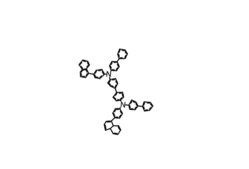 C1=CC2C=CC=C(c3ccc(N(c4ccc(-c5ccccc5)cc4)c4ccc(-c5ccc(N(c6ccc(-c7ccccc7)cc6)c6ccc(-c7cccc8ccccc78)cc6)cc5)cc4)cc3)C2C=C1